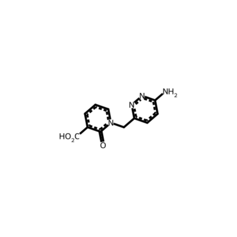 Nc1ccc(Cn2cccc(C(=O)O)c2=O)nn1